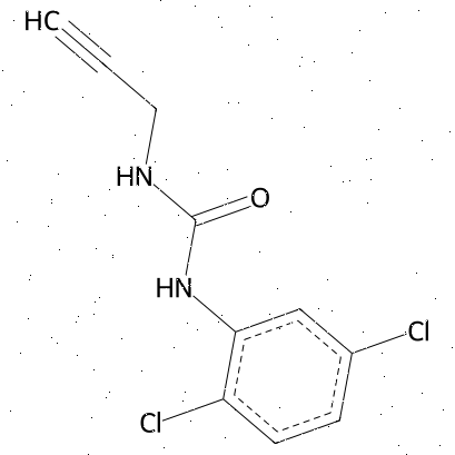 C#CCNC(=O)Nc1cc(Cl)ccc1Cl